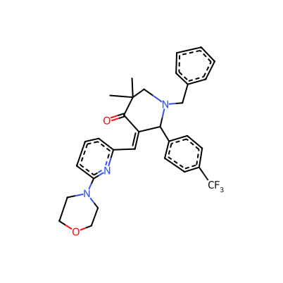 CC1(C)CN(Cc2ccccc2)C(c2ccc(C(F)(F)F)cc2)/C(=C/c2cccc(N3CCOCC3)n2)C1=O